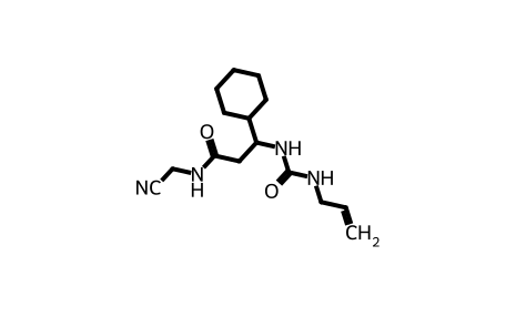 C=CCNC(=O)NC(CC(=O)NCC#N)C1CCCCC1